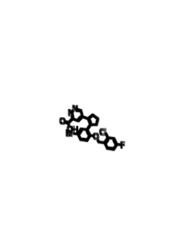 O=C(O)c1cc(C2=C(c3cc(Br)ccc3OCc3ccc(F)cc3Cl)CCC2)cnn1